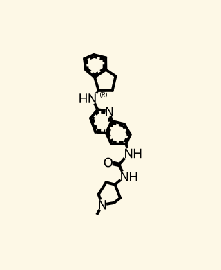 CN1CCC(NC(=O)Nc2ccc3nc(N[C@@H]4CCc5ccccc54)ccc3c2)CC1